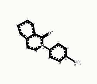 O=c1c2ccccc2ccn1-c1ccc([N+](=O)[O-])cc1